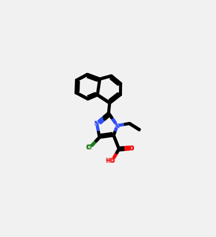 CCn1c(-c2cccc3ccccc23)nc(Cl)c1C(=O)O